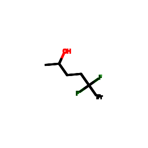 CC(O)CCC(F)(F)C(C)C